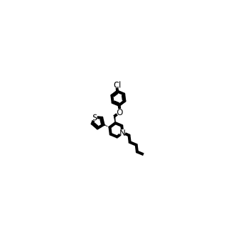 CCCCCN1CC[C@H](c2ccsc2)[C@@H](COc2ccc(Cl)cc2)C1